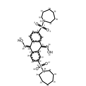 O=S(=O)(c1ccc2c(c1)C(=NO)c1cc(S(=O)(=O)N3CCCCCC3)ccc1C2=NO)N1CCCCCC1